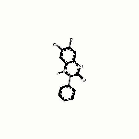 O=c1[nH]c2cc(Cl)c(Cl)cc2[n+]([O-])c1-c1ccccc1